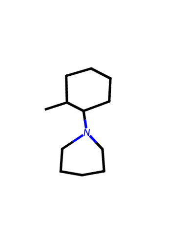 CC1CCCCC1N1CCCCC1